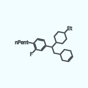 CCCCCc1ccc(C(CC2CC=CCC2)C2CCC(CC)CC2)cc1F